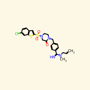 C=CCN(C)C(=N)c1ccc(CN2CCN(S(=O)(=O)c3cc4ccc(Cl)cc4s3)CC2=O)cc1